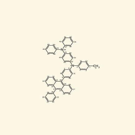 Cc1ccc(N(c2ccc(-c3c4ccccc4c(-c4ccccc4)c4ccccc34)cc2)c2ccc(N(c3ccccc3)c3ccccc3)cc2)cc1